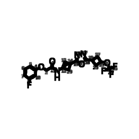 O=C(COc1cccc(F)c1)NC12CC(c3nnc(C4CC(OC(F)(F)F)C4)o3)(C1)C2